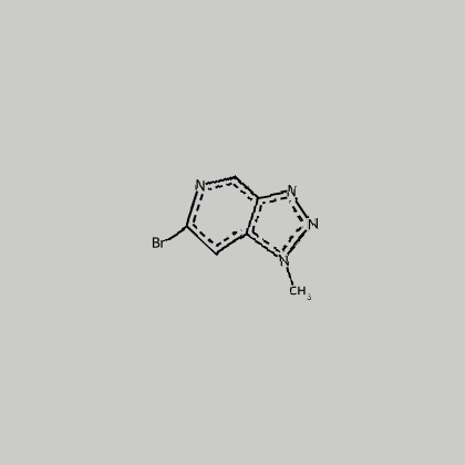 Cn1nnc2cnc(Br)cc21